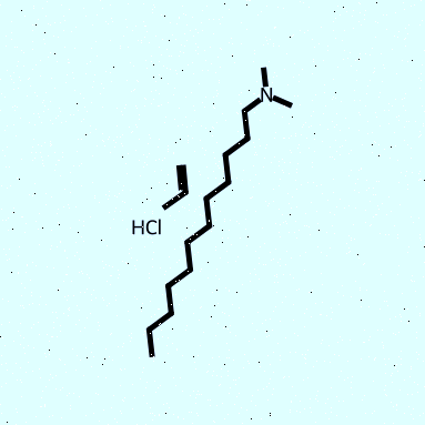 C=CC.CCCCCCCCCCCCN(C)C.Cl